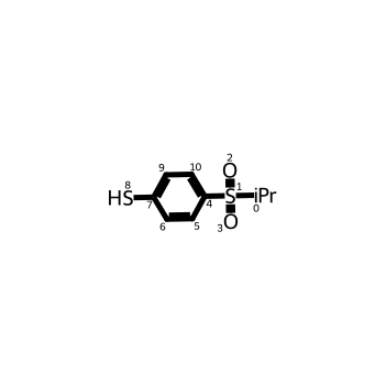 CC(C)S(=O)(=O)c1ccc(S)cc1